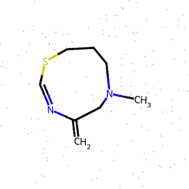 C=C1CN(C)CCCS/C=N\1